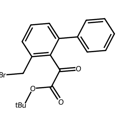 CC(C)(C)OC(=O)C(=O)c1c(CBr)cccc1-c1ccccc1